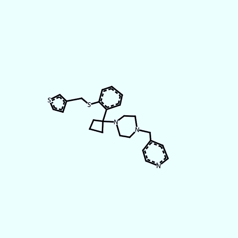 c1ccc(C2(N3CCN(Cc4ccncc4)CC3)CCC2)c(SCc2ccsc2)c1